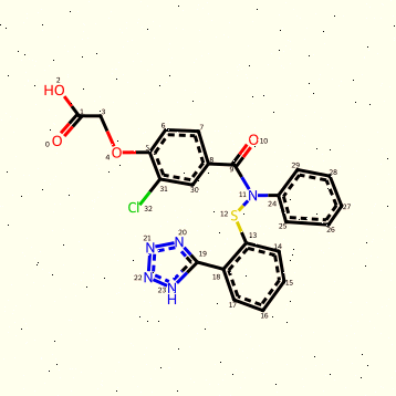 O=C(O)COc1ccc(C(=O)N(Sc2ccccc2-c2nnn[nH]2)c2ccccc2)cc1Cl